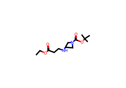 CCOC(=O)CCNC1CN(C(=O)OC(C)(C)C)C1